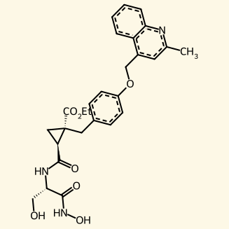 CCOC(=O)[C@@]1(Cc2ccc(OCc3cc(C)nc4ccccc34)cc2)C[C@@H]1C(=O)N[C@@H](CO)C(=O)NO